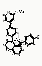 COc1cc(-c2ccc([C@@]3(NC(=O)c4ccc(F)cc4)CCOc4cccnc43)cc2)ccn1